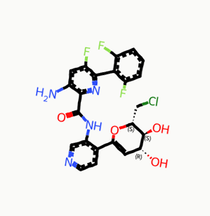 Nc1cc(F)c(-c2c(F)cccc2F)nc1C(=O)Nc1cnccc1C1=C[C@@H](O)[C@H](O)[C@@H](CCl)O1